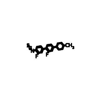 CC1CCC(c2ccc(-c3ccc(N=C=S)c(F)c3)c(F)c2)CC1